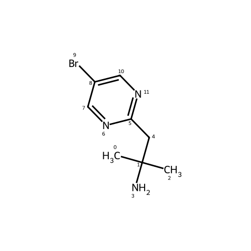 CC(C)(N)Cc1ncc(Br)cn1